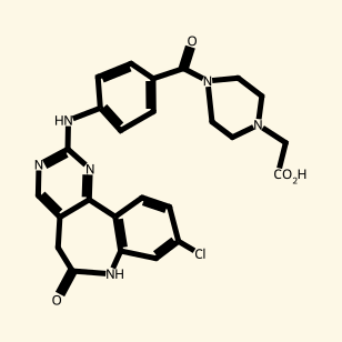 O=C(O)CN1CCN(C(=O)c2ccc(Nc3ncc4c(n3)-c3ccc(Cl)cc3NC(=O)C4)cc2)CC1